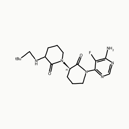 CC(C)(C)CNC1CCCN([C@@H]2CCCN(c3ncnc(N)c3F)C2=O)C1=O